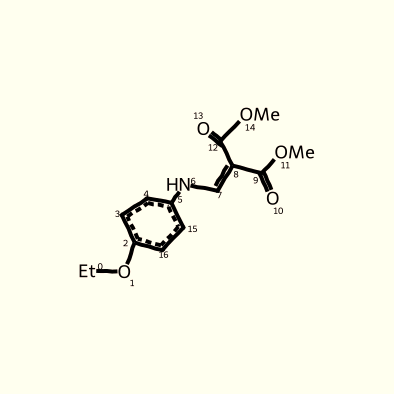 CCOc1ccc(NC=C(C(=O)OC)C(=O)OC)cc1